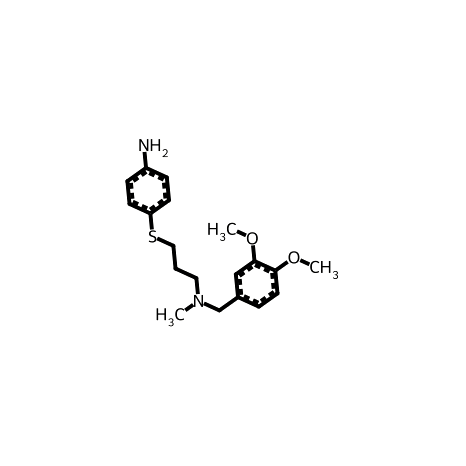 COc1ccc(CN(C)CCCSc2ccc(N)cc2)cc1OC